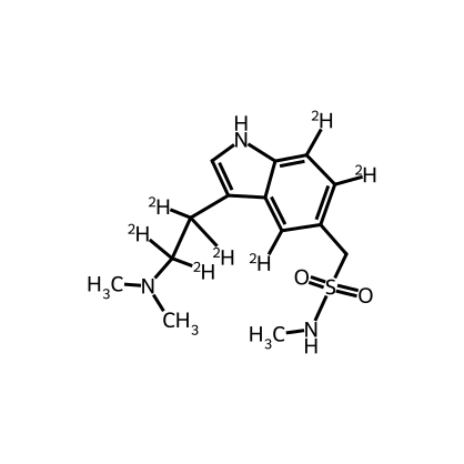 [2H]c1c(CS(=O)(=O)NC)c([2H])c2c(C([2H])([2H])C([2H])([2H])N(C)C)c[nH]c2c1[2H]